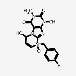 Cn1c(=O)c2c(nc3n2C(O)C=C[N+]3([O-])Cc2ccc(F)cc2)n(C)c1=O